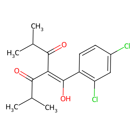 CC(C)C(=O)C(C(=O)C(C)C)=C(O)c1ccc(Cl)cc1Cl